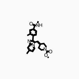 CNC(=O)c1ccc(-c2nc3cc(C)ccn3c2C=C2CCN(C(=O)OC)CC2)c(C)c1